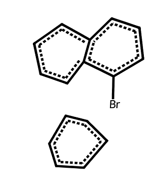 Brc1cccc2ccccc12.c1ccccc1